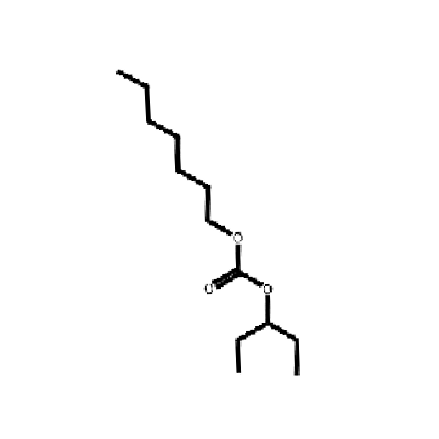 CCCCCCCOC(=O)OC(CC)CC